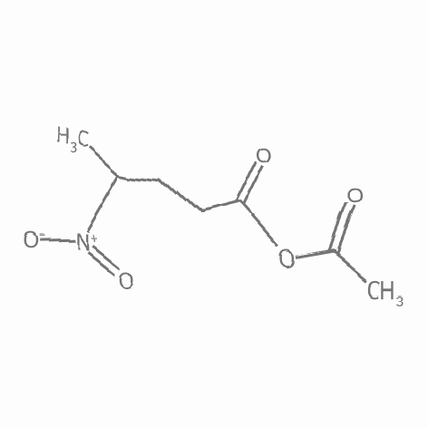 CC(=O)OC(=O)CCC(C)[N+](=O)[O-]